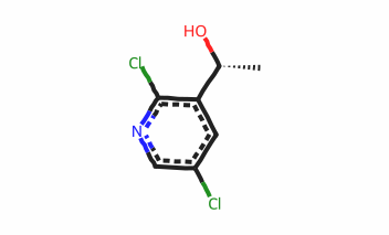 C[C@@H](O)c1cc(Cl)cnc1Cl